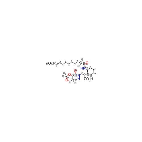 CCCCCCCCC=CCCCCCCC(C)(C)C(=O)NC1CCCCC1C(CNC(=O)C1OC(C)(C)OCC1(C)C)C(=O)O